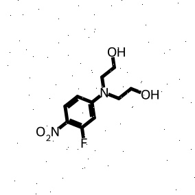 O=[N+]([O-])c1ccc(N(CCO)CCO)cc1F